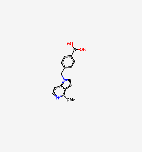 COc1nccc2c1ccn2Cc1ccc(B(O)O)cc1